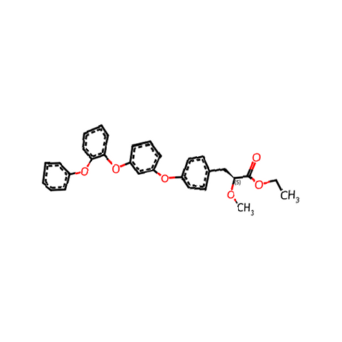 CCOC(=O)[C@H](Cc1ccc(Oc2cccc(Oc3ccccc3Oc3ccccc3)c2)cc1)OC